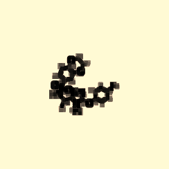 CCn1c(Oc2ccc(F)cc2)nnc1[C@@H](C)NS(=O)(=O)c1ccc2c(c1)OCCO2